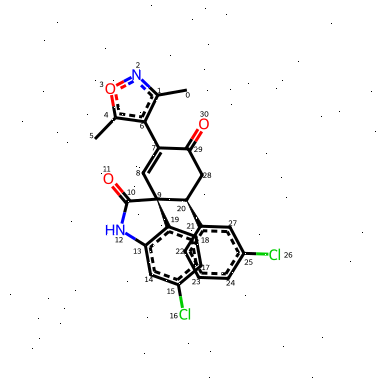 Cc1noc(C)c1C1=C[C@@]2(C(=O)Nc3cc(Cl)ccc32)[C@H](c2cccc(Cl)c2)CC1=O